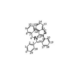 c1ccc(CN(Cc2ccccc2)c2c(-c3ccccc3)sc3ccccc23)cc1